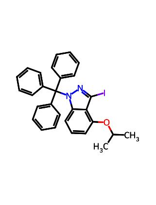 CC(C)Oc1cccc2c1c(I)nn2C(c1ccccc1)(c1ccccc1)c1ccccc1